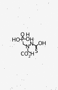 O=C(O)CN(CP(=O)(O)O)NC(O)=S